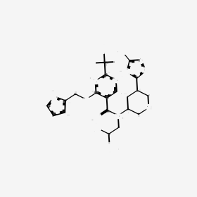 Cc1nnc(C2CNCC(N(CC(C)C)C(=O)c3cnc(C(C)(C)C)nc3NCc3ccco3)C2)o1